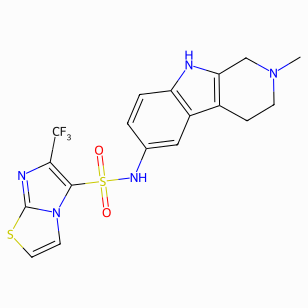 CN1CCc2c([nH]c3ccc(NS(=O)(=O)c4c(C(F)(F)F)nc5sccn45)cc23)C1